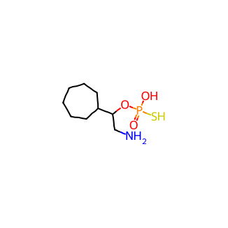 NCC(OP(=O)(O)S)C1CCCCCC1